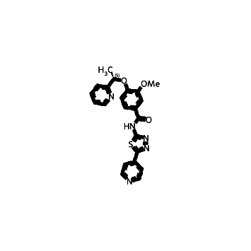 COc1cc(C(=O)Nc2nnc(-c3ccncc3)s2)ccc1O[C@@H](C)c1ccccn1